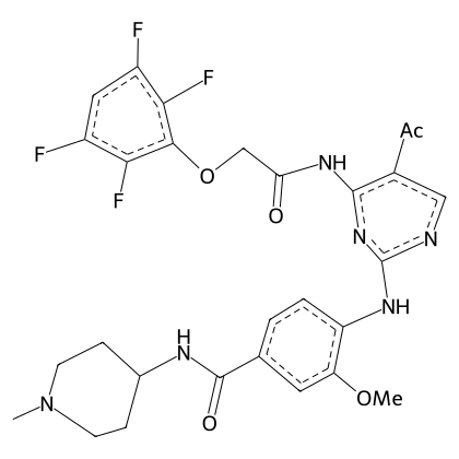 COc1cc(C(=O)NC2CCN(C)CC2)ccc1Nc1ncc(C(C)=O)c(NC(=O)COc2c(F)c(F)cc(F)c2F)n1